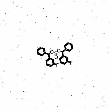 O=S(OC(c1ccccc1)c1cccc(F)c1)OC(c1ccccc1)c1cccc(F)c1